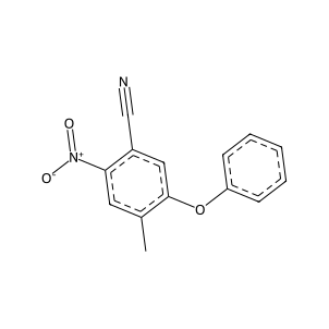 Cc1cc([N+](=O)[O-])c(C#N)cc1Oc1ccccc1